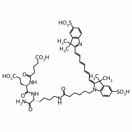 CC1(C)C(/C=C/C=C/C=C/C=C2/N(CCCCCC(=O)NCCCC[C@@H](NC(=O)[C@@H](CCC(=O)O)NC(=O)CCCC(=O)O)C(N)=O)c3ccc(S(=O)(=O)O)cc3C2(C)C)=Nc2ccc(S(=O)(=O)O)cc21